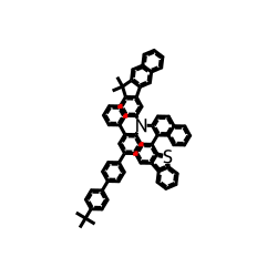 CC(C)(C)c1ccc(-c2ccc(-c3ccc(N(c4ccc5c(c4)-c4cc6ccccc6cc4C5(C)C)c4ccc5ccccc5c4-c4cccc5c4sc4ccccc45)c(-c4ccccc4)c3)cc2)cc1